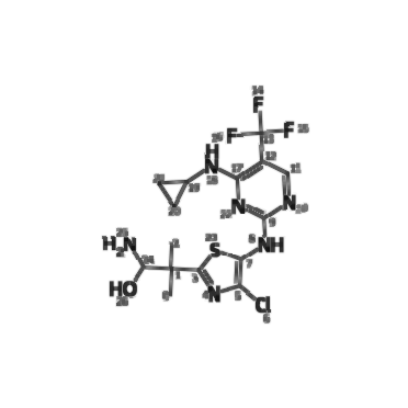 CC(C)(c1nc(Cl)c(Nc2ncc(C(F)(F)F)c(NC3CC3)n2)s1)C(N)O